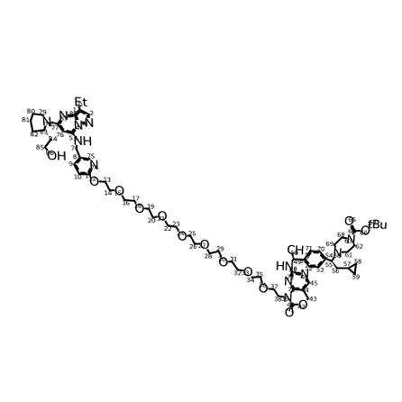 CCc1cnn2c(NCc3ccc(OCCOCCOCCOCCOCCOCCOCCOCCOCCN4C(=O)OCc5cnc(N[C@@H](C)c6ccc([C@H](CC7CC7)N7CCN(C(=O)OC(C)(C)C)CC7)cc6)nc54)nc3)cc(N3CCCC[C@H]3CCO)nc12